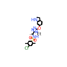 CCn1c(Oc2ccc3c(c2)NCC3)nnc1[C@@H](C)NS(=O)(=O)c1cc(C)c(Cl)cc1C